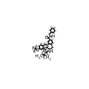 CC(C)(C)OC(=O)N[C@H]1CSc2ccc(C(=O)NCc3ccccc3)cc2N(Cc2ccc(OC(F)(F)F)cc2)C1=O